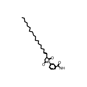 CCCCCCCCCCCCCCCC/C=C/C1CC(=O)N(c2cccc(C([NH])=O)c2)C1=O